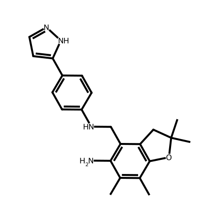 Cc1c(C)c2c(c(CNc3ccc(-c4ccn[nH]4)cc3)c1N)CC(C)(C)O2